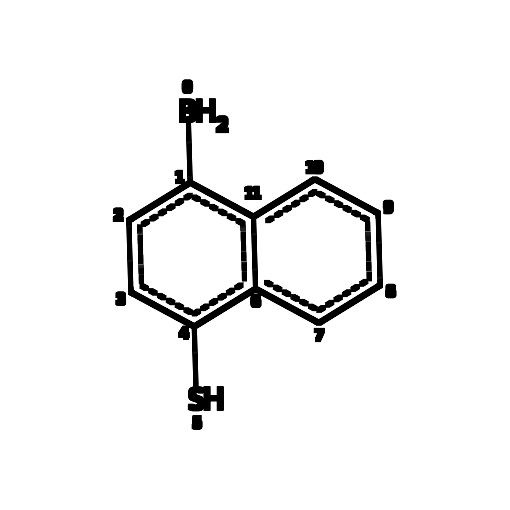 Bc1ccc(S)c2ccccc12